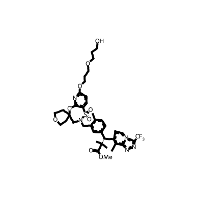 COC(=O)C(C)(C)[C@H](c1ccc(C)c(CN2CC3(CCOCC3)Oc3nc(OCCCOCCCO)ccc3S2(=O)=O)c1)c1ccn2c(C(F)(F)F)nnc2c1C